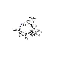 COc1cc2cc(c1Cl)N(C)C(=O)C[C@H](OC(=O)[C@H](C)N(C)C(C)=O)[C@]1(C)O[C@H]1[C@H](C)C1C[C@]3(ON3C(=O)O1)[C@H](OC)/C=C/C=C(\C)C2